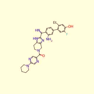 CCc1cc(O)c(F)cc1-c1ccc(C(=N)c2nc3c([nH]2)CCN(C(=O)c2cnc(N4CCCCC4)cn2)C3)c(N)c1